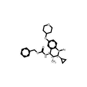 CC(=O)N1c2ccc(OC3CCOCC3)cc2[C@H](NC(=O)OCc2ccccc2)[C@@H](C)[C@@H]1C1CC1